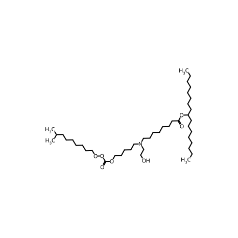 CCCCCCCCC(CCCCCCCC)OC(=O)CCCCCCCN(CCO)CCCCCOC(=O)OOCCCCCCCC(C)C